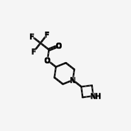 O=C(OC1CCN(C2CNC2)CC1)C(F)(F)F